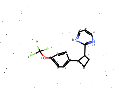 FC(F)(F)Oc1ccc([C]2CCC2c2ncccn2)cc1